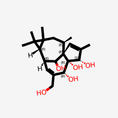 CC1=C[C@]23C(O)[C@@H](C=C(CO)[C@@H](O)[C@]2(O)[C@H]1O)[C@@H]1C(C)(C)C1(C)C[C@H]3C